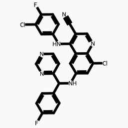 N#Cc1cnc2c(Cl)cc(NC(c3ccc(F)cc3)c3ccncn3)cc2c1Nc1ccc(F)c(Cl)c1